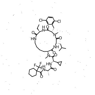 CC[C@H]1NC(=O)[C@H](Cc2cc(Cl)ccc2Cl)N(C)C(=O)[C@H](CC(C)C)NC(=O)[C@@H](N(C)C(=O)[C@@H](NC(=O)[C@H](C)NC(=O)C2(C(F)(F)F)CCCCC2)C2CC2)CCCCNC1=O